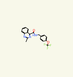 Cc1nc(C(=O)NCc2ccc(OC(F)(F)F)cc2)c2ccccc2n1